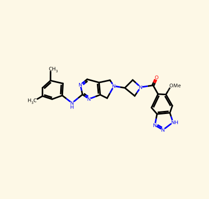 COc1cc2[nH]nnc2cc1C(=O)N1CC(N2Cc3cnc(Nc4cc(C)cc(C)c4)nc3C2)C1